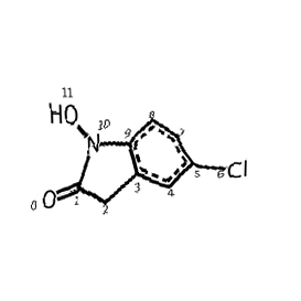 O=C1Cc2cc(Cl)ccc2N1O